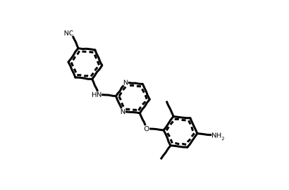 Cc1cc(N)cc(C)c1Oc1ccnc(Nc2ccc(C#N)cc2)n1